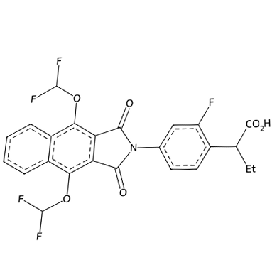 CCC(C(=O)O)c1ccc(N2C(=O)c3c(c(OC(F)F)c4ccccc4c3OC(F)F)C2=O)cc1F